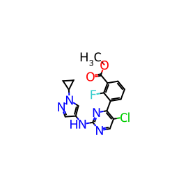 COC(=O)c1cccc(-c2nc(Nc3cnn(C4CC4)c3)ncc2Cl)c1F